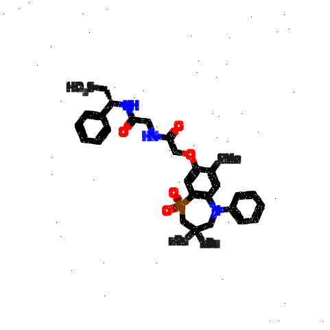 CCCCC1(CCCC)CN(c2ccccc2)c2cc(SC)c(OCC(=O)NCC(=O)N[C@@H](CS(=O)(=O)O)c3ccccc3)cc2S(=O)(=O)C1